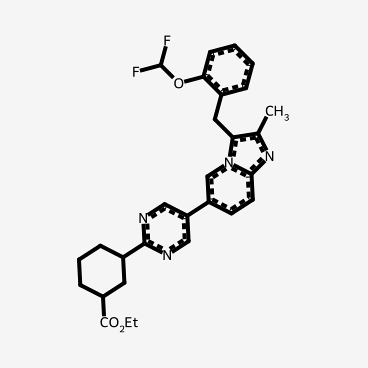 CCOC(=O)C1CCCC(c2ncc(-c3ccc4nc(C)c(Cc5ccccc5OC(F)F)n4c3)cn2)C1